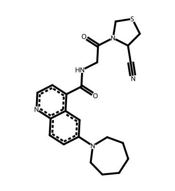 N#CC1CSCN1C(=O)CNC(=O)c1ccnc2ccc(N3CCCCCC3)cc12